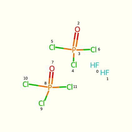 F.F.O=P(Cl)(Cl)Cl.O=P(Cl)(Cl)Cl